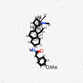 COc1ccc(CC(=O)N(C)[C@H]2CC[C@@]3(C)C(=CC[C@@H]4C3CC[C@]35CN(C)[C@@H](C)[C@H]3CC[C@@H]45)C2)cc1